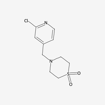 O=S1(=O)CCN(Cc2ccnc(Cl)c2)CC1